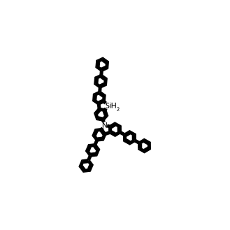 c1ccc(-c2ccc(-c3ccc4c(c3)[SiH2]c3cc(-n5c6ccc(-c7ccc(-c8ccccc8)cc7)cc6c6cc(-c7ccc(-c8ccccc8)cc7)ccc65)ccc3-4)cc2)cc1